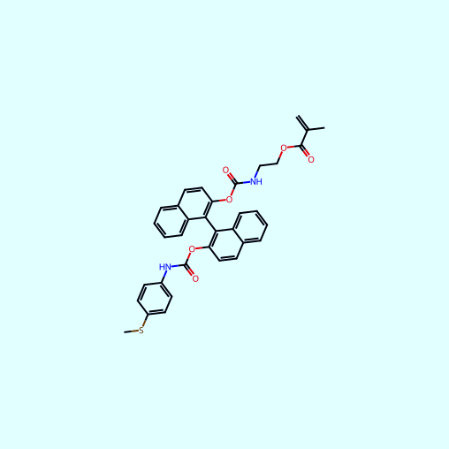 C=C(C)C(=O)OCCNC(=O)Oc1ccc2ccccc2c1-c1c(OC(=O)Nc2ccc(SC)cc2)ccc2ccccc12